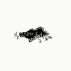 COc1ccc(CS(=O)(=O)[C@@H]2C[C@@H](C(=O)N[C@H](C(=O)C(F)(F)C(=O)NCC(F)(F)F)C(C)C)N(C(=O)[C@H](C)NC(=O)C(F)(F)c3cc(Cl)ccc3Cl)C2)cc1